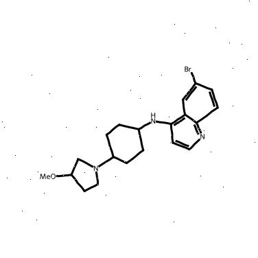 COC1CCN(C2CCC(Nc3[c]cnc4ccc(Br)cc34)CC2)C1